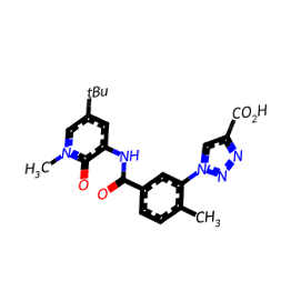 Cc1ccc(C(=O)Nc2cc(C(C)(C)C)cn(C)c2=O)cc1-n1cc(C(=O)O)nn1